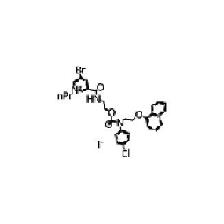 CCC[n+]1cc(Br)cc(C(=O)NCCOC(=O)N(CCOc2cccc3ccccc23)c2ccc(Cl)cc2)c1.[I-]